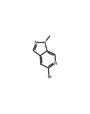 Cn1ncc2cc(Br)ncc21